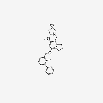 COc1cc(OCc2cccc(-c3ccccc3)c2C)c2c(c1CN1CCC3(CC3)C1)CCC2